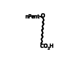 CCCCCC1=C(CC=CCC=CCC=CCCCC(=O)O)O1